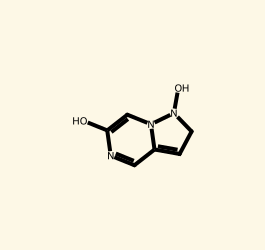 OC1=CN2C(=CCN2O)C=N1